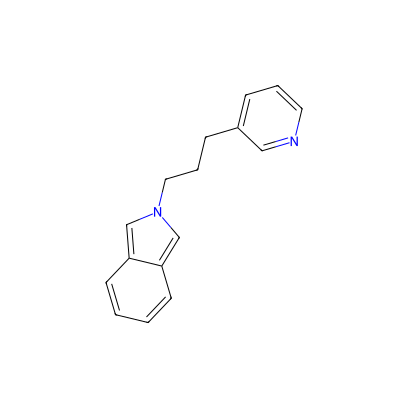 c1cncc(CCCn2cc3ccccc3c2)c1